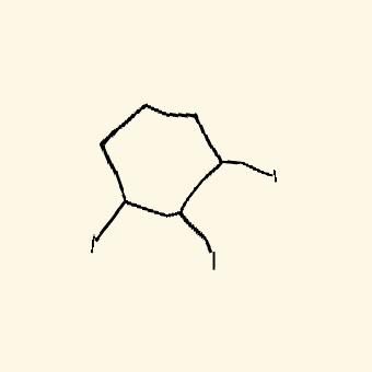 IC1CCCC(I)C1I